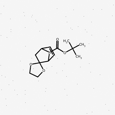 CC(C)(C)OC(=O)N1C2C=CC1C1(C2)OCCO1